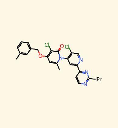 Cc1cccc(COc2cc(C)n(-c3cc(-c4ccnc(C(C)C)n4)ncc3Cl)c(=O)c2Cl)c1